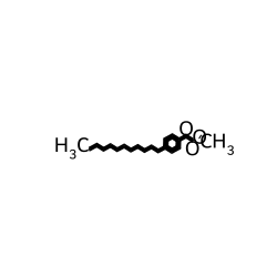 CCCCCCCCCCCCc1ccc(C(=O)C(=O)OC)cc1